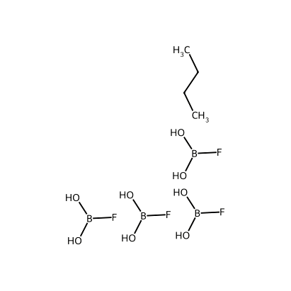 CCCC.OB(O)F.OB(O)F.OB(O)F.OB(O)F